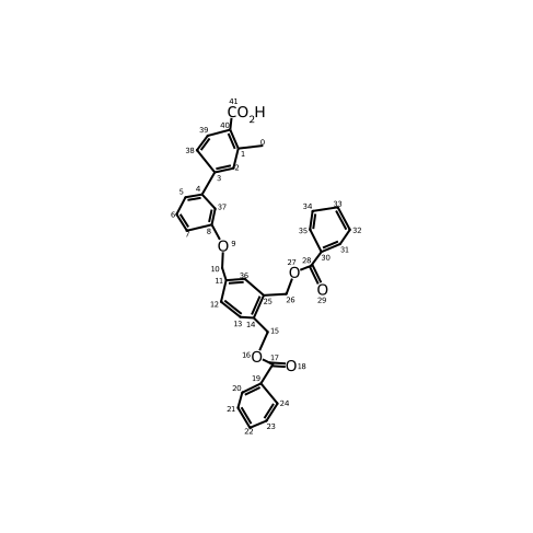 Cc1cc(-c2cccc(OCc3ccc(COC(=O)c4ccccc4)c(COC(=O)c4ccccc4)c3)c2)ccc1C(=O)O